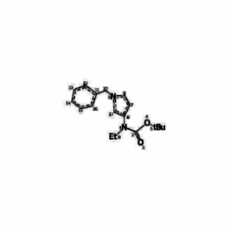 CCN(C(=O)OC(C)(C)C)c1ccn(Cc2ccccc2)c1